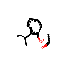 CC(C)c1ccccc1O.CC=O